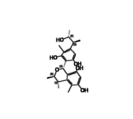 Cc1c([C@H](C)[C@@H](C)O)cc(O)c([C@H]2O[C@H](C)[C@@H](C)c3c(C)c(O)cc(O)c32)c1O